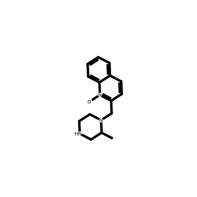 CC1CNCCN1Cc1ccc2ccccc2[n+]1[O-]